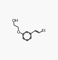 [CH2]CC=Cc1cccc(OCCO)c1